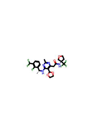 Cc1nc(CC(=O)N[C@@]2(C(F)(F)F)CCOC2)c(C2OCCO2)c(N[C@H](C)c2cccc(C(F)F)c2F)n1